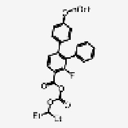 CCCCCCCCOc1ccc(-c2ccc(C(=O)OC(=O)OC(CC)CC)c(F)c2-c2ccccc2)cc1